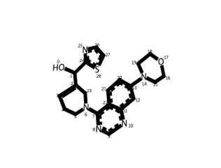 OC(C1=CCCN(c2ncnc3cc(N4CCOCC4)ccc23)C1)c1nccs1